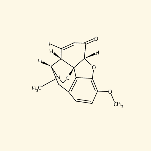 COc1ccc2c3c1O[C@H]1C(=O)C=C(I)[C@H]4[C@@H](C2)N(C)CC[C@]314